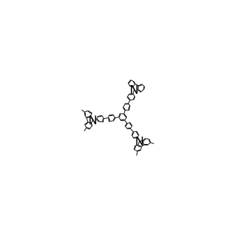 Cc1ccc2c(c1)c1cc(C)ccc1n2-c1ccc(-c2ccc(-c3cc(-c4ccc(-c5ccc(-n6c7ccccc7c7ccccc76)cc5)cc4)cc(-c4ccc(-c5ccc(-n6c7ccc(C)cc7c7cc(C)ccc76)cc5)cc4)c3)cc2)cc1